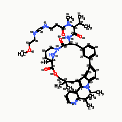 CCn1c(-c2cccnc2C(C)C)c2c3cc(ccc31)-c1cccc(c1)C[C@H](NC(=O)[C@H](C(C)C)N(C)C(=O)CCN=C=NCCOC)C(=O)N1CCC[C@H](N1)C(=O)OCC(C)(C)C2